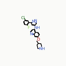 Fc1ccc(Cl)cc1-c1cc(Nc2ccnc3cc(OCC4CCNCC4)ccc23)cnn1